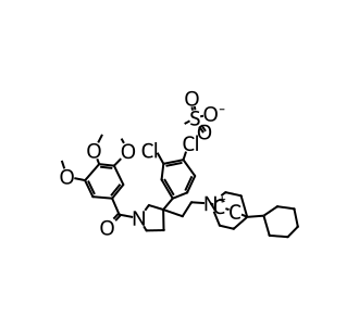 COc1cc(C(=O)N2CCC(CC[N+]34CCC(C5CCCCC5)(CC3)CC4)(c3ccc(Cl)c(Cl)c3)C2)cc(OC)c1OC.CS(=O)(=O)[O-]